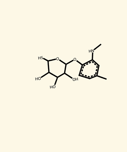 CNc1cc(C)ccc1OC1OC(S)C(O)C(O)C1O